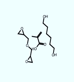 C(OCC1CO1)C1CO1.C=C(C)C(=O)O.OCCCCCCO